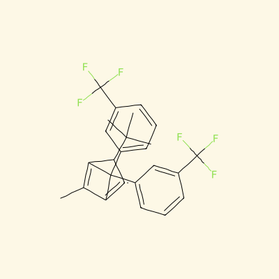 CC1=C2C(C(C)(C)C)[C]=C1C2(c1cccc(C(F)(F)F)c1)c1cccc(C(F)(F)F)c1